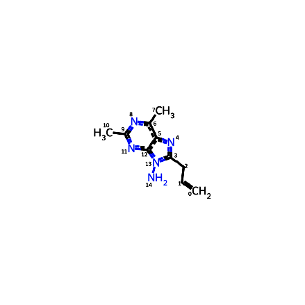 C=CCc1nc2c(C)nc(C)nc2n1N